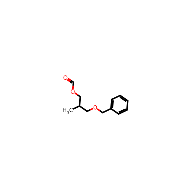 CC(COC=O)COCc1ccccc1